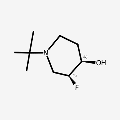 CC(C)(C)N1CC[C@@H](O)[C@@H](F)C1